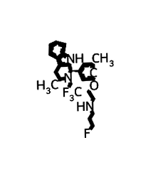 Cc1cc(OCCNCCCF)cc([C@@H]2c3[nH]c4ccccc4c3C[C@@H](C)N2CC(F)(F)F)c1